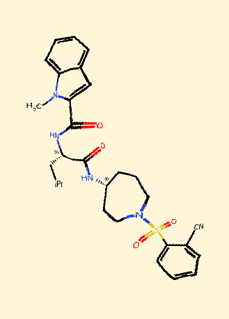 CC(C)C[C@H](NC(=O)c1cc2ccccc2n1C)C(=O)N[C@@H]1CCCN(S(=O)(=O)c2ccccc2C#N)CC1